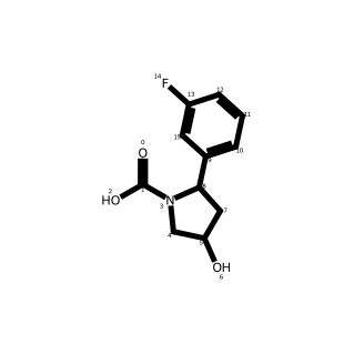 O=C(O)N1CC(O)CC1c1cccc(F)c1